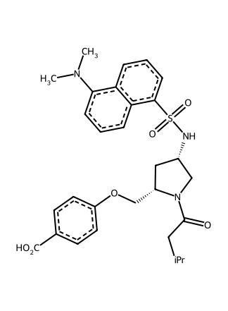 CC(C)CC(=O)N1C[C@@H](NS(=O)(=O)c2cccc3c(N(C)C)cccc23)C[C@H]1COc1ccc(C(=O)O)cc1